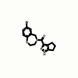 O=C(c1n[nH]c2c1CCC2)N1CCOc2ccc(Br)cc2C1